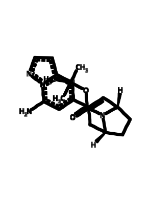 CC(C)(C)OC(=O)N1[C@@H]2CC[C@H]1C=C(c1cc(N)n3nccc3n1)C2